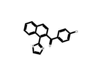 O=C(c1ccc(Cl)cc1)c1ccc2ccccc2c1-c1nccs1